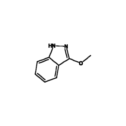 COc1n[nH]c2ccccc12